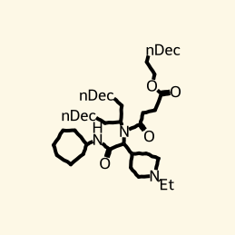 CCCCCCCCCCCCOC(=O)CCC(=O)N(C(CCCCCCCCCCC)CCCCCCCCCCC)C(C(=O)NC1CCCCCC1)C1CCN(CC)CC1